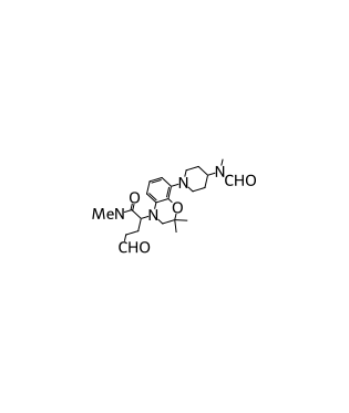 CNC(=O)C(CCC=O)N1CC(C)(C)Oc2c(N3CCC(N(C)C=O)CC3)cccc21